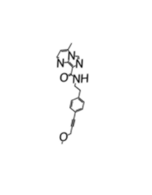 COCC#Cc1ccc(CCNC(=O)c2ncn3c(C)ccnc23)cc1